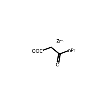 CCCC(=O)CC(=O)[O-].[Zr+]